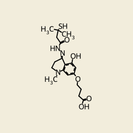 CN1CC/C(=N\NC(=O)CC(C)(C)S)c2c(O)cc(OCCCC(=O)O)cc21